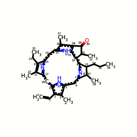 C=Cc1c(C)c2cc3nc(c4c5[nH]c(cc6nc(cc1[nH]2)C(C)=C6CC)c(C)c5C(=O)C4C)C(CCC)C3C